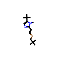 Cn1c(C(C)(C)C)cnc1C=CSCC(C)(C)C